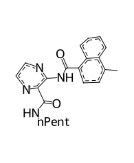 CCCCCNC(=O)c1nccnc1NC(=O)c1ccc(C)c2ccccc12